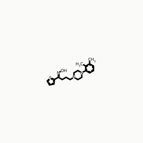 Cc1cccc(N2CCN(CCCC(=NO)c3cccs3)CC2)c1C